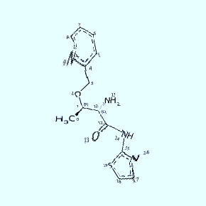 C[C@@H](OCc1ccccn1)[C@H](N)C(=O)Nc1nccs1